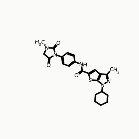 Cc1nn(C2CCCCC2)c2sc(C(=O)Nc3ccc(N4C(=O)CN(C)C4=O)cc3)cc12